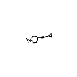 CSN1CCC(C#CC2CC2)CC1